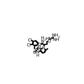 Cc1ccc(NS(=O)(=O)Cc2cccc(Cl)c2Cl)c(=O)n1C(CCONC(=N)N)C(N)=O